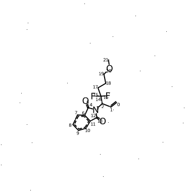 C=CC(N1C(=O)c2ccccc2C1=O)C(F)(F)CCCOC